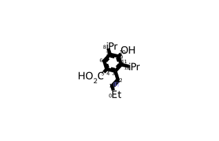 CC/C=C/c1c(C(=O)O)cc(C(C)C)c(O)c1C(C)C